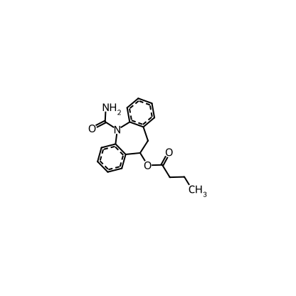 CCCC(=O)OC1Cc2ccccc2N(C(N)=O)c2ccccc21